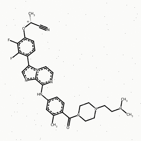 Cc1cc(Nc2nccn3c(-c4ccc(O[C@H](C)C#N)c(F)c4F)cnc23)ccc1C(=O)N1CCN(CCN(C)C)CC1